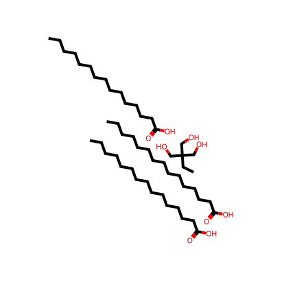 CCC(CO)(CO)CO.CCCCCCCCCCCCCCC(=O)O.CCCCCCCCCCCCCCC(=O)O.CCCCCCCCCCCCCCC(=O)O